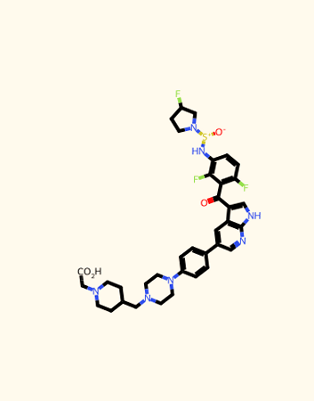 O=C(O)CN1CCC(CN2CCN(c3ccc(-c4cnc5[nH]cc(C(=O)c6c(F)ccc(N[S+]([O-])N7CCC(F)C7)c6F)c5c4)cc3)CC2)CC1